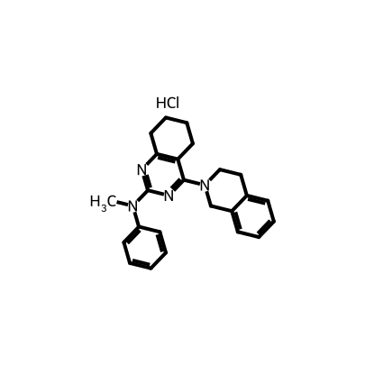 CN(c1ccccc1)c1nc2c(c(N3CCc4ccccc4C3)n1)CCCC2.Cl